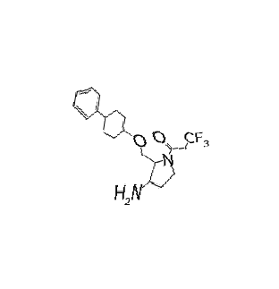 NC1CCN(C(=O)CC(F)(F)F)C1COC1CCC(c2ccccc2)CC1